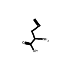 C=CCC(N)C(=O)CCC